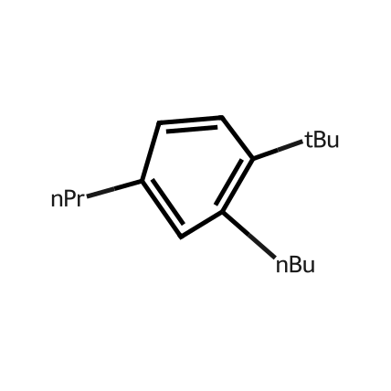 CCCCc1cc(CCC)ccc1C(C)(C)C